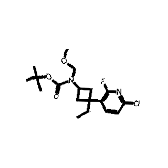 C[CH]C1(c2ccc(Cl)nc2F)CC(N(COC)C(=O)OC(C)(C)C)C1